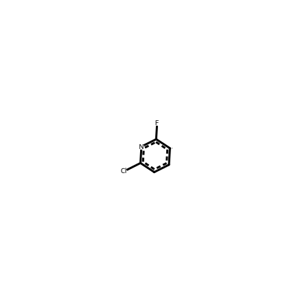 Fc1[c]ccc(Cl)n1